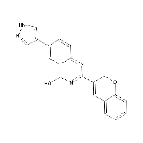 Oc1nc(C2=Cc3ccccc3OC2)nc2ccc(-c3cn[nH]c3)cc12